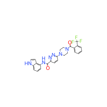 O=C(Nc1cccc2[nH]ccc12)c1ccc(N2CCN(C(=O)c3ccccc3C(F)(F)F)CC2)nn1